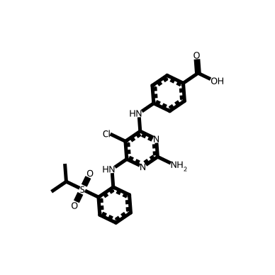 CC(C)S(=O)(=O)c1ccccc1Nc1nc(N)nc(Nc2ccc(C(=O)O)cc2)c1Cl